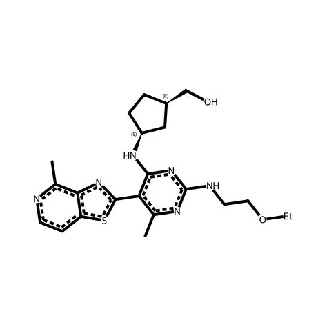 CCOCCNc1nc(C)c(-c2nc3c(C)nccc3s2)c(N[C@H]2CC[C@@H](CO)C2)n1